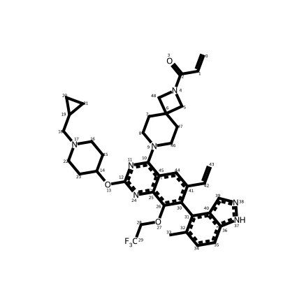 C=CC(=O)N1CC2(CCN(c3nc(OC4CCN(CC5CC5)CC4)nc4c(OCC(F)(F)F)c(-c5c(C)ccc6[nH]ncc56)c(C=C)cc34)CC2)C1